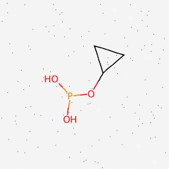 OP(O)OC1CC1